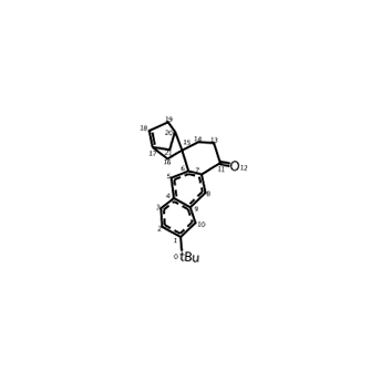 CC(C)(C)c1ccc2cc3c(cc2c1)C(=O)CCC31CC2=CCC1C2